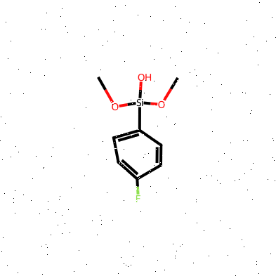 CO[Si](O)(OC)c1ccc(F)cc1